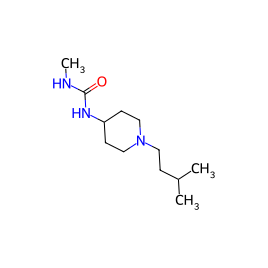 CNC(=O)NC1CCN(CCC(C)C)CC1